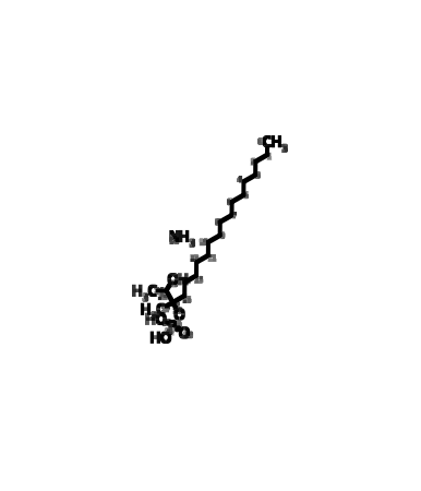 CCCCCCCCCCCCCCCCC(C)(OP(=O)(O)O)C(C)O.N